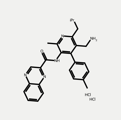 Cc1ccc(-c2c(CN)c(CC(C)C)nc(C)c2NC(=O)c2cnc3ccccc3n2)cc1.Cl.Cl